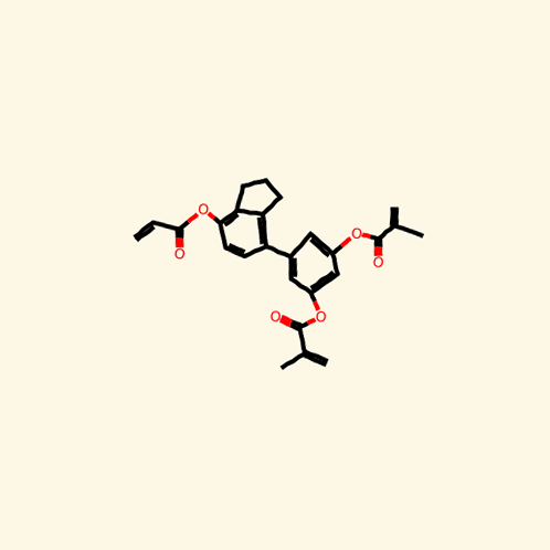 C=CC(=O)Oc1ccc(-c2cc(OC(=O)C(=C)C)cc(OC(=O)C(=C)C)c2)c2c1CCC2